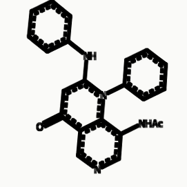 CC(=O)Nc1cncc2c(=O)cc(Nc3ccccc3)n(-c3ccccc3)c12